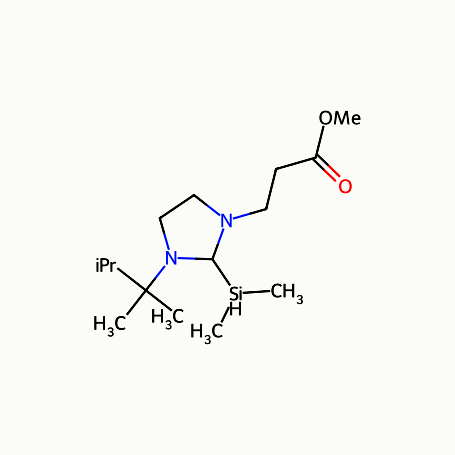 COC(=O)CCN1CCN(C(C)(C)C(C)C)C1[SiH](C)C